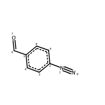 N#[N+]c1ccc(C=O)cc1